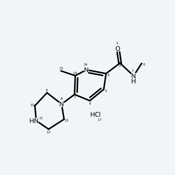 CNC(=O)c1ccc(N2CCNCC2)c(C)n1.Cl